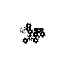 CC1(C)c2ccccc2-c2ccc(-c3nc(-c4ccccc4)nc(-c4ccccc4-c4cccc5c4Sc4ccccc4C54c5ccccc5-c5ccccc54)n3)cc21